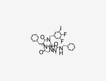 CN(C(=O)NCc1ccccc1)N1CC(=O)N2[C@@H](Cc3ccccc3)C(=O)N(Cc3cc(F)c(F)c(I)c3)C[C@@H]21